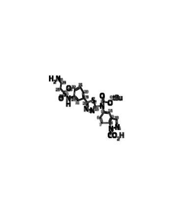 CC(C)(C)OC(=O)N(c1ccc2c(cnn2C(=O)O)c1)c1nnc(-c2cccc(NS(=O)(=O)CCN)c2)s1